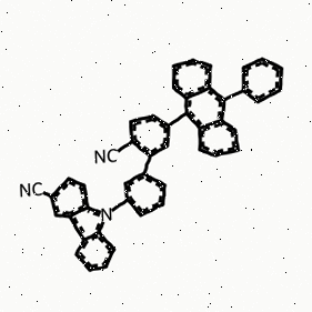 N#Cc1ccc2c(c1)c1ccccc1n2-c1cccc(-c2cc(-c3c4ccccc4c(-c4ccccc4)c4ccccc34)ccc2C#N)c1